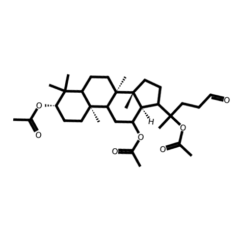 CC(=O)OC1CC2[C@@]3(C)CC[C@H](OC(C)=O)C(C)(C)C3CC[C@@]2(C)[C@]2(C)CCC(C(C)(CCC=O)OC(C)=O)[C@@H]12